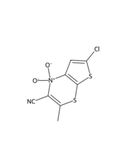 CC1=C(C#N)[N+]([O-])([O-])c2cc(Cl)sc2S1